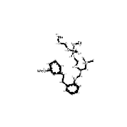 CCOP(=S)(OCO[C@H](COc1ccccc1CCc1cccc(OC)c1)CN(C)C)SCSC(C)(C)C